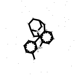 Cc1cccc(CN2CC3CCC2Cc2c(N)cccc2C3)c1